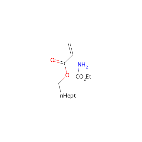 C=CC(=O)OCCCCCCCC.CCOC(N)=O